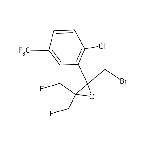 FCC1(CF)OC1(CBr)c1cc(C(F)(F)F)ccc1Cl